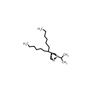 CCCCCCC(CCCCCC)c1cnn(C(C)C)c1